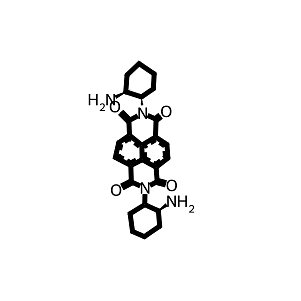 N[C@H]1CCCCC1N1C(=O)c2ccc3c4c(ccc(c24)C1=O)C(=O)N([C@H]1CCCC[C@@H]1N)C3=O